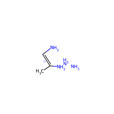 C/C(N)=C/N.N.N